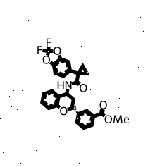 COC(=O)c1cccc([C@H]2CC(NC(=O)C3(c4ccc5c(c4)OC(F)(F)O5)CC3)c3ccccc3O2)c1